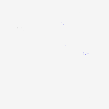 CCOC(=O)CSc1nc(Cl)cc(Nc2cccc(C(F)(F)F)c2)n1